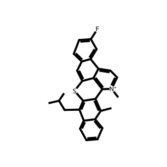 Cc1c2c(c(CC(C)C)c3ccccc13)Sc1cc3ccc(F)cc3c3cc[n+](C)c-2c13